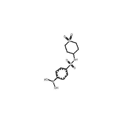 O=S1(=O)CCC(NS(=O)(=O)c2ccc(B(O)O)cc2)CC1